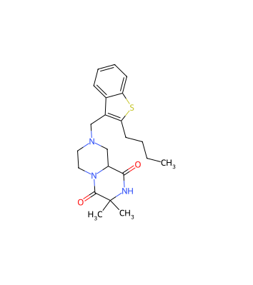 CCCCc1sc2ccccc2c1CN1CCN2C(=O)C(C)(C)NC(=O)C2C1